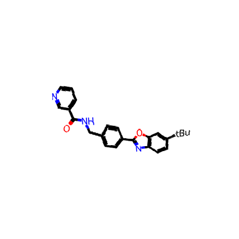 CC(C)(C)c1ccc2nc(-c3ccc(CNC(=O)c4cccnc4)cc3)oc2c1